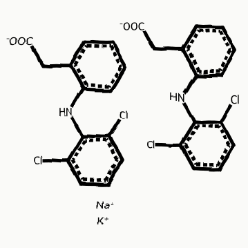 O=C([O-])Cc1ccccc1Nc1c(Cl)cccc1Cl.O=C([O-])Cc1ccccc1Nc1c(Cl)cccc1Cl.[K+].[Na+]